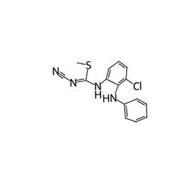 CS/C(=N\C#N)Nc1cccc(Cl)c1Nc1ccccc1